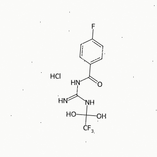 Cl.N=C(NC(=O)c1ccc(F)cc1)NC(O)(O)C(F)(F)F